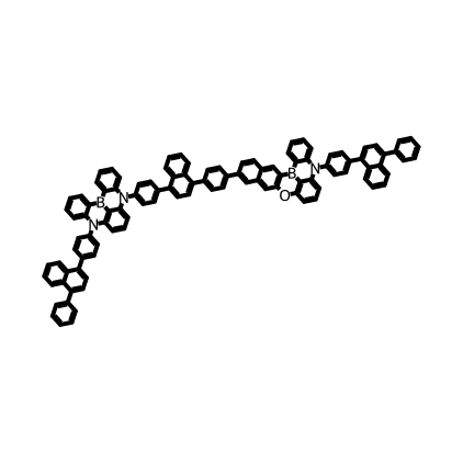 c1ccc(-c2ccc(-c3ccc(N4c5ccccc5B5c6cc7ccc(-c8ccc(-c9ccc(-c%10ccc(N%11c%12ccccc%12B%12c%13ccccc%13N(c%13ccc(-c%14ccc(-c%15ccccc%15)c%15ccccc%14%15)cc%13)c%13cccc%11c%13%12)cc%10)c%10ccccc9%10)cc8)cc7cc6Oc6cccc4c65)cc3)c3ccccc23)cc1